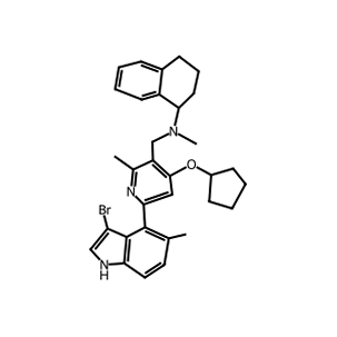 Cc1ccc2[nH]cc(Br)c2c1-c1cc(OC2CCCC2)c(CN(C)C2CCCc3ccccc32)c(C)n1